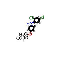 CCOC(=O)C(C)Oc1ccc(Nc2ccc(Cl)cc2Cl)cc1